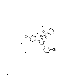 N#Cc1cccc(-c2cc(-c3ccc(Cl)cc3)n(NS(=O)(=O)c3ccccc3)n2)c1